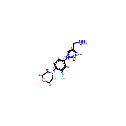 NCc1cn(-c2ccc(N3CCOCC3)c(F)c2)nn1